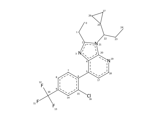 CCc1nc2c(-c3ccc(C(F)(F)F)cc3Cl)ccnc2n1C(CC)C1CC1